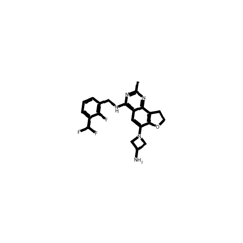 Cc1nc(NCc2cccc(C(F)F)c2F)c2cc(N3CC(N)C3)c3c(c2n1)CCO3